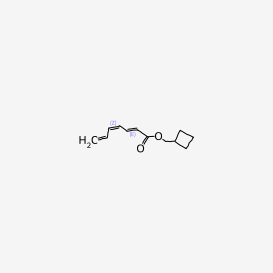 C=C/C=C\C=C\C(=O)OCC1CCC1